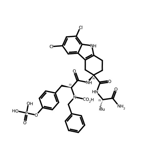 CCC(C)[C@H](NC(=O)[C@@]1(NC(=O)[C@H](Cc2ccc(OP(=O)(O)O)cc2)N(Cc2ccccc2)C(=O)O)CCc2[nH]c3c(Cl)cc(Cl)cc3c2C1)C(N)=O